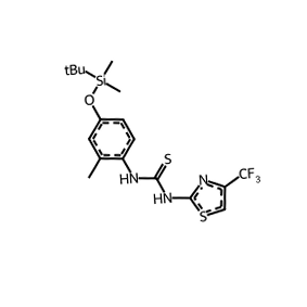 Cc1cc(O[Si](C)(C)C(C)(C)C)ccc1NC(=S)Nc1nc(C(F)(F)F)cs1